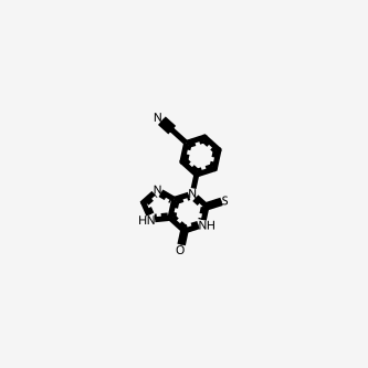 N#Cc1cccc(-n2c(=S)[nH]c(=O)c3[nH]cnc32)c1